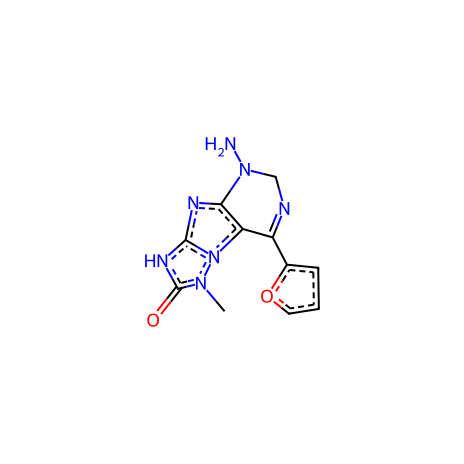 Cn1c(=O)[nH]c2nc3c(n21)C(c1ccco1)=NCN3N